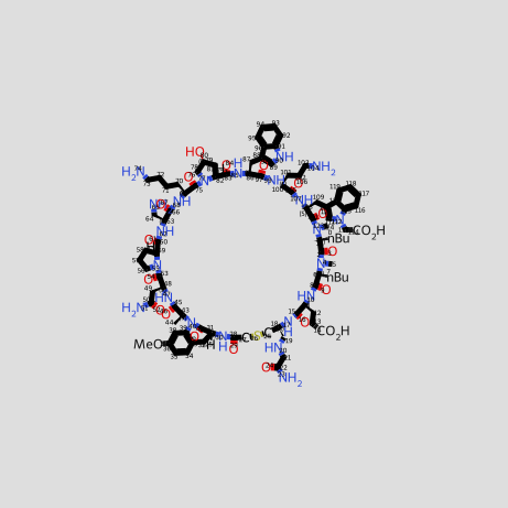 CCCC[C@H]1C(=O)N(C)[C@@H](CCCC)C(=O)N[C@@H](CCC(=O)O)C(=O)N[C@H](CNCC(N)=O)CSCC(=O)N[C@H]2Cc3ccc(OC)cc3N(C2=O)[C@@H](C)C(=O)N[C@@H](CC(N)=O)C(=O)N2CCC[C@H]2C(=O)N[C@@H](CN)C(=O)N[C@@H](CCCCN)C(=O)N2C[C@H](O)C[C@H]2C(=O)N[C@@H](Cc2c[nH]c3ccccc23)C(=O)N[C@@H](CCCN)C(=O)N[C@@H](Cc2cn(CC(=O)O)c3ccccc23)C(=O)N1C